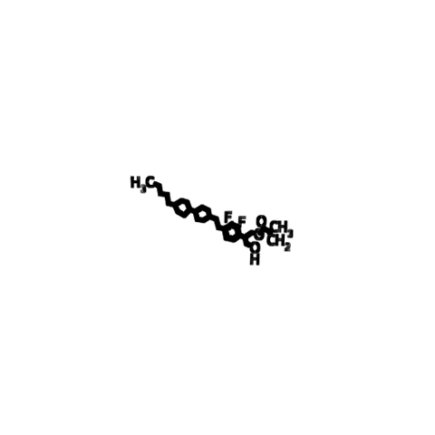 C=C(C)C(=O)OCC(CO)c1ccc(CCC2CCC(C3CCC(CCCCC)CC3)CC2)c(F)c1F